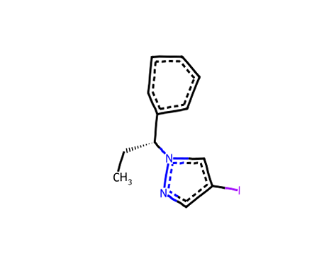 CC[C@H](c1ccccc1)n1cc(I)cn1